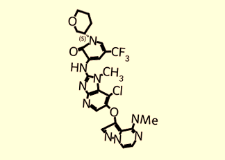 CNc1nccn2ncc(Oc3cnc4nc(Nc5cc(C(F)(F)F)cn([C@H]6CCCOC6)c5=O)n(C)c4c3Cl)c12